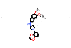 COc1cc2c(cc1OC)CC(NC1CCN(c3cccc4c3OCCO4)CC1)C2